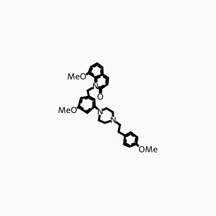 COc1ccc(CCN2CCN(c3cc(Cn4c(=O)ccc5cccc(OC)c54)cc(OC)c3)CC2)cc1